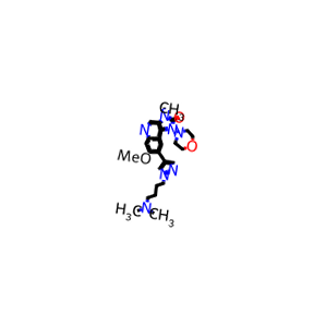 COc1cc2ncc3c(c2cc1-c1cnn(CCCCN(C)C)c1)n(N1CCOCC1)c(=O)n3C